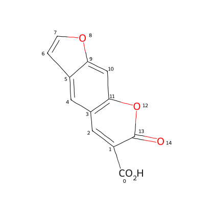 O=C(O)c1cc2cc3ccoc3cc2oc1=O